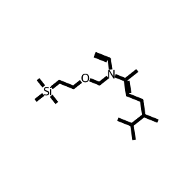 C=CN(COCC[Si](C)(C)C)/C(C)=C/CC(C)C(C)C